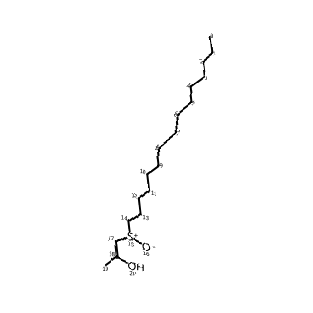 CCCCCCCCCCCCCCC[S+]([O-])CC(C)O